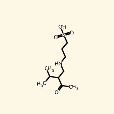 CC(=O)C(CNCCCS(=O)(=O)O)C(C)C